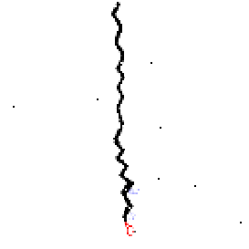 CCCCCCCCCCCCCCCC/C=C/C=C/[O]